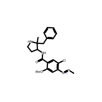 C/N=N/c1cc(OC)c(C(=O)NC2CCNC2(C)Cc2ccccc2)cc1Cl